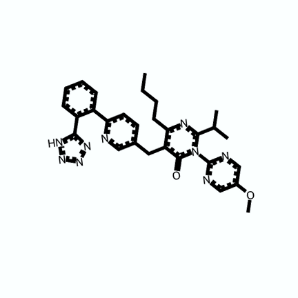 CCCCc1nc(C(C)C)n(-c2ncc(OC)cn2)c(=O)c1Cc1ccc(-c2ccccc2-c2nnn[nH]2)nc1